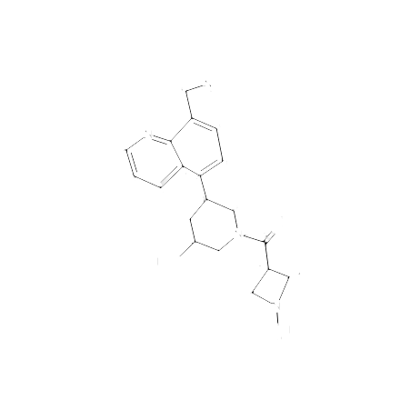 CC1CC(c2ccc(CN)c3ncccc23)CN(C(=O)C2CN(C)C2)C1